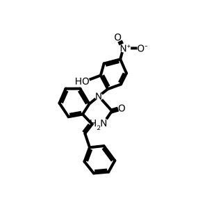 NC(=O)N(c1ccc([N+](=O)[O-])cc1O)c1ccccc1C=Cc1ccccc1